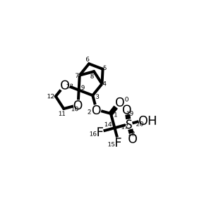 O=C(OC1C2CCC(C2)C12OCCO2)C(F)(F)S(=O)(=O)O